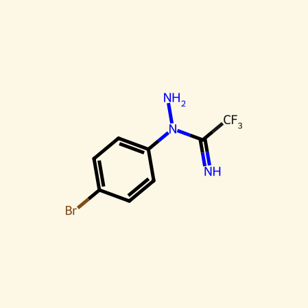 N=C(N(N)c1ccc(Br)cc1)C(F)(F)F